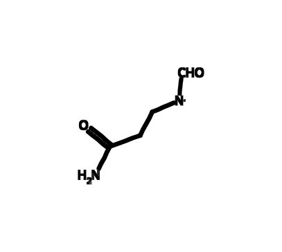 NC(=O)CC[N]C=O